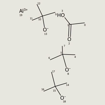 CC(=O)O.CC(C)(C)[O-].CC(C)(C)[O-].CC(C)(C)[O-].[Al+3]